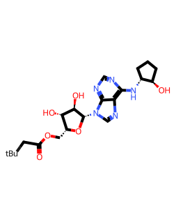 CC(C)(C)CC(=O)OC[C@H]1O[C@@H](n2cnc3c(N[C@@H]4CCC[C@H]4O)ncnc32)[C@H](O)[C@H]1O